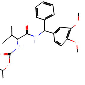 COc1ccc(C(NC(=O)[C@@H](NC(=O)OC(C)C)C(C)C)c2ccccc2)cc1OC